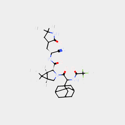 CC1(C)CC(C[C@@H](C#N)NC(=O)[C@@H]2[C@@H]3[C@H](CN2C(=O)C(NC(=O)C(F)(F)F)C24CC5CC(CC(C5)C2)C4)C3(C)C)C(=O)N1